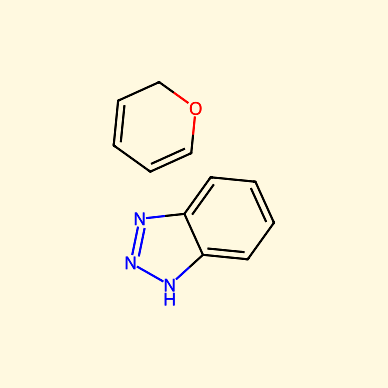 C1=CCOC=C1.c1ccc2[nH]nnc2c1